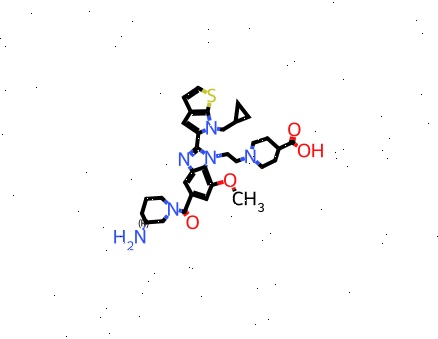 COc1cc(C(=O)N2CCC[C@@H](N)C2)cc2nc(-c3cc4ccsc4n3CC3CC3)n(CCN3CCC(C(=O)O)CC3)c12